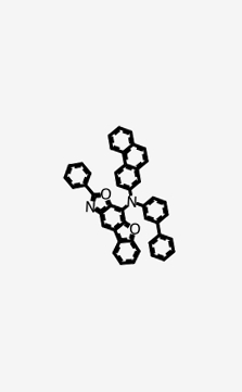 c1ccc(-c2cccc(N(c3ccc4c(ccc5ccccc54)c3)c3c4oc(-c5ccccc5)nc4cc4c3oc3ccccc34)c2)cc1